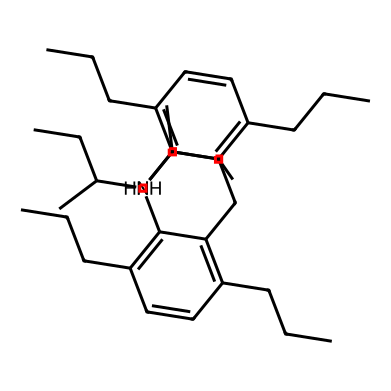 CCCc1ccc(CCC)c(NC(C)CC)c1Cc1c(CCC)ccc(CCC)c1NC(C)CC